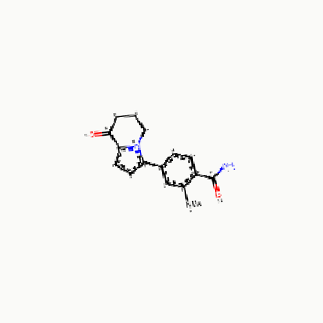 CNc1cc(-c2ccc3n2CCCC3=O)ccc1C(N)=O